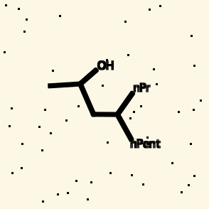 CCCCCC(CCC)CC(C)O